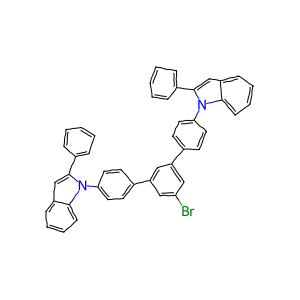 Brc1cc(-c2ccc(-n3c(-c4ccccc4)cc4ccccc43)cc2)cc(-c2ccc(-n3c(-c4ccccc4)cc4ccccc43)cc2)c1